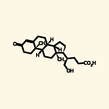 C[C@]12CC[C@H]3[C@@H](CCC4=CC(=O)CC[C@@]43C)[C@@H]1CC[C@@H]2[C@H](CO)CCC(=O)O